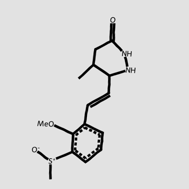 COc1c(/C=C/C2NNC(=O)CC2C)cccc1[S+](C)[O-]